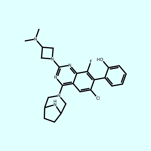 CN(C)C1CN(c2nc(N3CC4CCC(C3)N4)c3cc(Cl)c(-c4ccccc4O)c(F)c3n2)C1